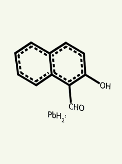 O=Cc1c(O)ccc2ccccc12.[PbH2]